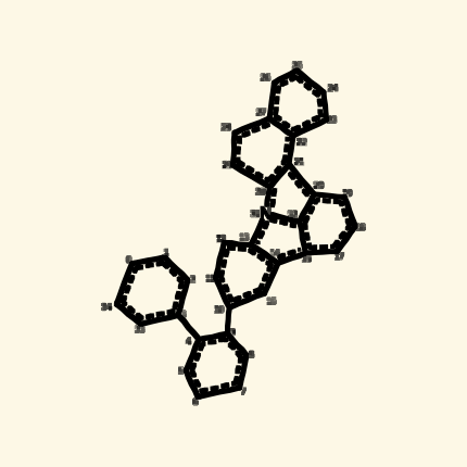 c1ccc(-c2ccccc2-c2ccc3c(c2)c2cccc4c5c6ccccc6ccc5n3c24)cc1